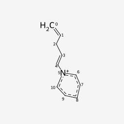 C=CCC=C[n+]1ccccc1